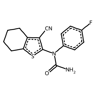 N#Cc1c(N(C(N)=O)c2ccc(F)cc2)sc2c1CCCC2